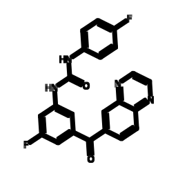 O=C(Nc1ccc(F)cc1)Nc1cc(F)cc(C(=O)c2ccc3nccnc3c2)c1